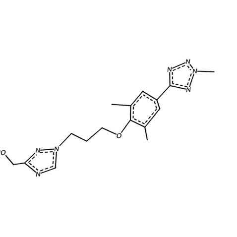 Cc1cc(-c2nnn(C)n2)cc(C)c1OCCCn1cnc(CO)n1